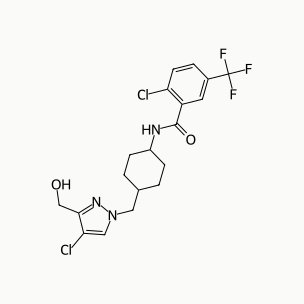 O=C(NC1CCC(Cn2cc(Cl)c(CO)n2)CC1)c1cc(C(F)(F)F)ccc1Cl